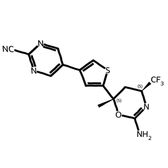 C[C@@]1(c2cc(-c3cnc(C#N)nc3)cs2)C[C@@H](C(F)(F)F)N=C(N)O1